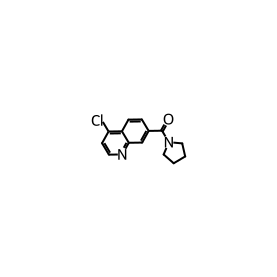 O=C(c1ccc2c(Cl)ccnc2c1)N1CCCC1